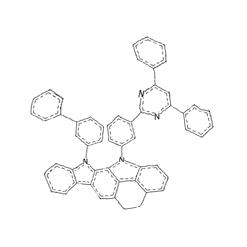 c1ccc(-c2cccc(-n3c4ccccc4c4cc5c6c7c(cccc7n(-c7cccc(-c8nc(-c9ccccc9)cc(-c9ccccc9)n8)c7)c6c43)CC5)c2)cc1